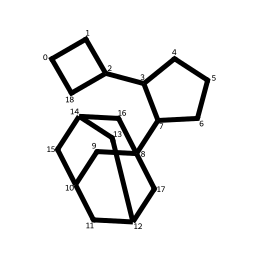 C1C[C](C2CCCC2C23CC4CC(CC(C4)C2)C3)C1